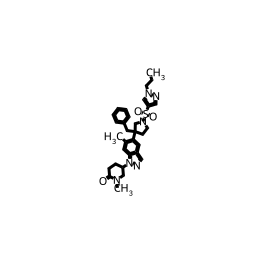 CCCn1cc(S(=O)(=O)N2CCC(Cc3ccccc3)(c3cc4cnn(C5CCC(=O)N(C)C5)c4cc3C)C2)cn1